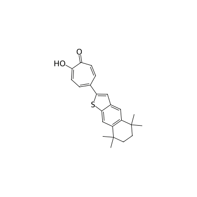 CC1(C)CCC(C)(C)c2cc3sc(-c4ccc(O)c(=O)cc4)cc3cc21